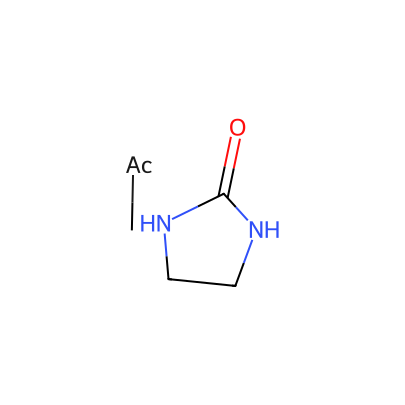 CC(C)=O.O=C1NCCN1